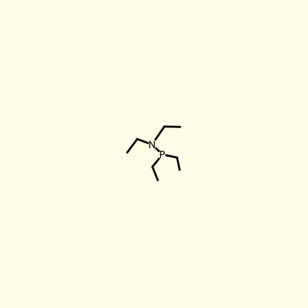 CCN(CC)P(CC)CC